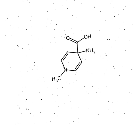 CN1C=CC(N)(C(=O)O)C=C1